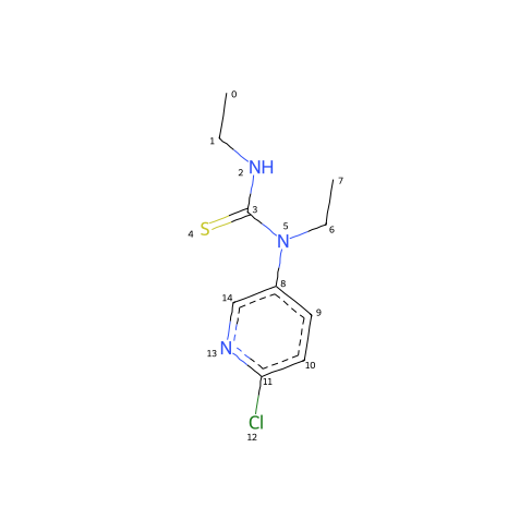 CCNC(=S)N(CC)c1ccc(Cl)nc1